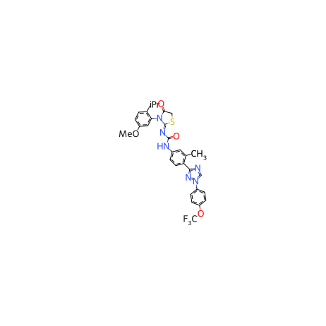 COc1ccc(C(C)C)c(N2C(=O)CS/C2=N\C(=O)Nc2ccc(-c3ncn(-c4ccc(OC(F)(F)F)cc4)n3)c(C)c2)c1